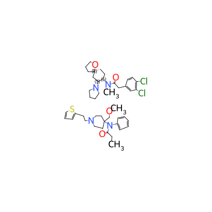 CCC(=O)N(c1ccccc1)C1(COC)CCN(CCc2cccs2)CC1.CN(C(=O)Cc1ccc(Cl)c(Cl)c1)[C@H]1CC[C@@]2(CCCO2)C[C@@H]1N1CCCC1